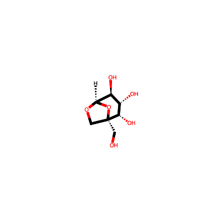 OC[C@]12CO[C@H](O1)[C@@H](O)[C@H](O)[C@@H]2O